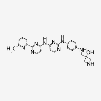 Cc1cccc(-c2nccc(Nc3ccnc(Nc4ccc(NCC5(O)CNC5)cc4)n3)n2)n1